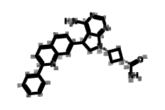 Nc1ncnc2c1C(c1ccc3ccc(-c4ccccc4)nc3c1)CN2[C@H]1C[C@@H](C(N)=O)C1